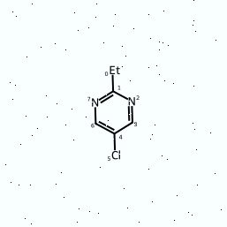 CCc1ncc(Cl)cn1